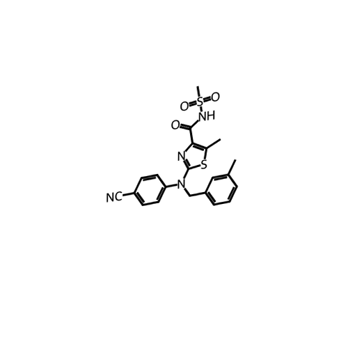 Cc1cccc(CN(c2ccc(C#N)cc2)c2nc(C(=O)NS(C)(=O)=O)c(C)s2)c1